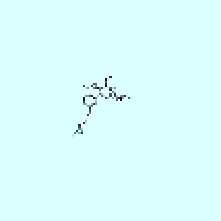 CC=NOCN(C(=O)C(Cl)CC)c1cc(CCCCOCC)ccc1CC